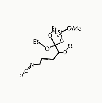 CCOC(CCCN=C=O)C(OCC)(OCC)O[SiH2]OC